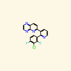 Fc1ccc(-c2ncccc2-c2ccc3nccnc3n2)c(F)c1Cl